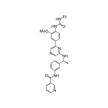 CCNC(=O)Nc1ccc(-c2cncc(N[C@@H](C)c3cccc(NC(=O)c4cccnc4)c3)n2)cc1OC